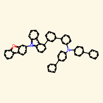 c1ccc(-c2ccc(N(c3ccc(-c4ccccc4)cc3)c3cccc(-c4cccc(-c5cccc6c5c5ccccc5n6-c5ccc6c(c5)oc5ccccc56)c4)c3)cc2)cc1